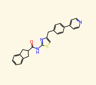 O=C(Nc1nc(Cc2ccc(-c3ccncc3)cc2)cs1)C1Cc2ccccc2C1